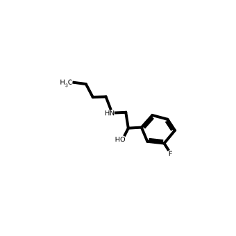 CCCCNCC(O)c1cccc(F)c1